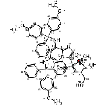 COc1ccc(C(Nc2nc(NC(c3ccccc3)(c3ccc(OC)cc3)c3ccc(OC)cc3)c3ncc([C@]4(C#N)C[C@H](CO)[C@@H](O)[C@@]4(C)O)n3n2)(c2ccccc2)c2ccc(OC)cc2)cc1